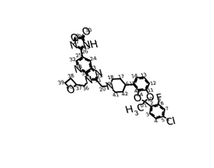 CC1(c2ccc(Cl)cc2F)Oc2cccc(C3CCN(Cc4nc5cc(-c6noc(=O)[nH]6)cnc5n4CC4CCO4)CC3)c2O1